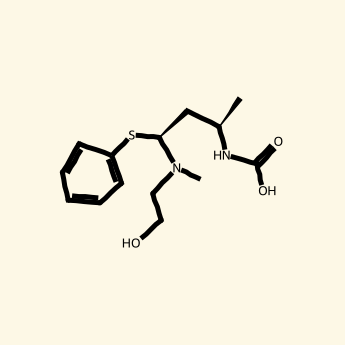 C[C@H](C[C@H](Sc1ccccc1)N(C)CCO)NC(=O)O